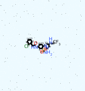 NS(=O)(=O)c1cc(NC(=O)Cc2ccccc2Cl)ccc1-n1cc(NCC(F)(F)F)cn1